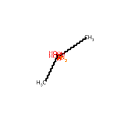 CCCCCCCCC=CCCCCCCCC(=O)C(O)(P)C(O)(CO)C(=O)CCCCCCCCCCCCCCC